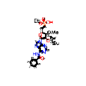 CCOP(=O)(O)C=C[C@H]1O[C@@H](n2cnc3c(NC(=O)c4ccccc4)ncnc32)[C@H](O[Si](C)(C)C(C)(C)C)[C@@H]1OC